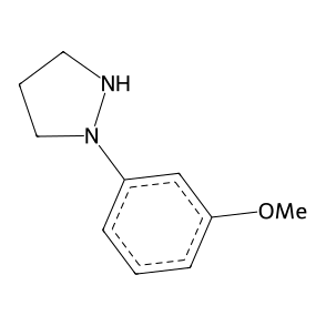 COc1cccc(N2CCCN2)c1